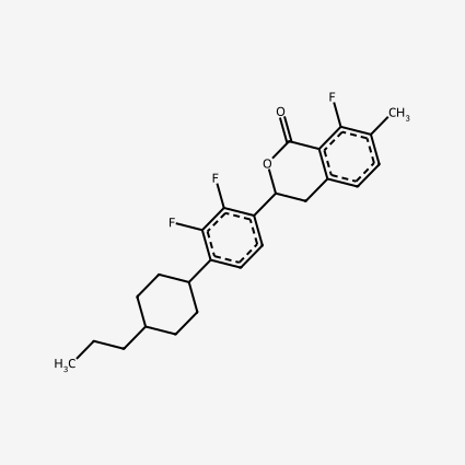 CCCC1CCC(c2ccc(C3Cc4ccc(C)c(F)c4C(=O)O3)c(F)c2F)CC1